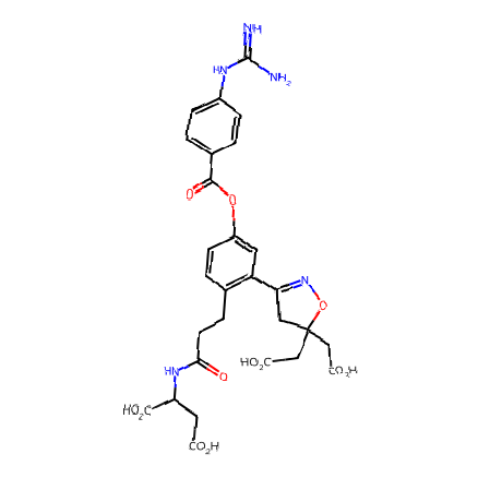 N=C(N)Nc1ccc(C(=O)Oc2ccc(CCC(=O)NC(CC(=O)O)C(=O)O)c(C3=NOC(CC(=O)O)(CC(=O)O)C3)c2)cc1